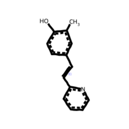 Cc1cc(/C=C/c2ccccn2)ccc1O